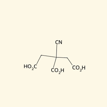 N#CC(CC(=O)O)(CC(=O)O)C(=O)O